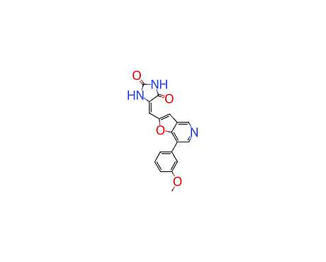 COc1cccc(-c2cncc3cc(C=C4NC(=O)NC4=O)oc23)c1